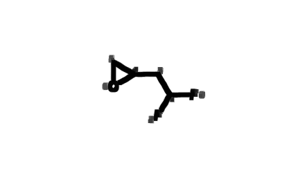 FC(F)CC1CO1